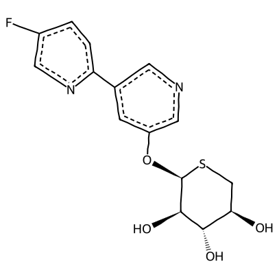 O[C@@H]1[C@@H](O)[C@@H](Oc2cncc(-c3ccc(F)cn3)c2)SC[C@H]1O